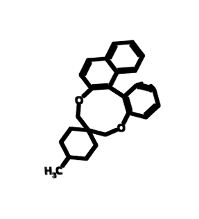 CC1CCC2(CC1)COc1ccc3ccccc3c1-c1c(ccc3ccccc13)OC2